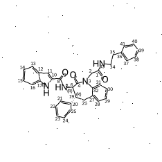 O=C(CN1C(=O)[C@H](NC(=O)c2cc3ccccc3[nH]2)[C@@H](c2ccccc2)Cc2ccccc21)NCCc1ccccc1